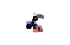 CCC(O)C(=O)N1CCc2c(nc(Cc3ccc(OC)c(F)c3)c3[nH]c4ccccc4c23)C1